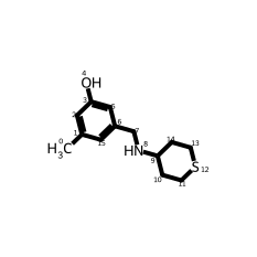 Cc1cc(O)cc(CNC2CCSCC2)c1